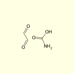 NC(=O)O.O=CC=O